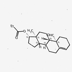 CCC(=O)O[C@H]1CC[C@H]2[C@@H]3CCC4=CCCC[C@]4(C=O)[C@H]3CC[C@]12C